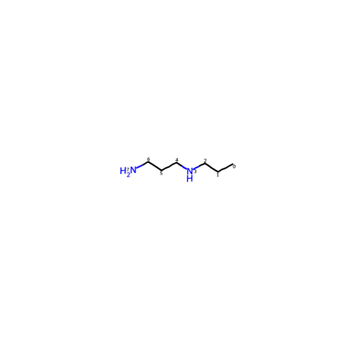 CCCNCCCN